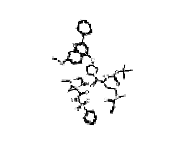 C=CC(=O)N(C)CC[C@H](NC(=O)OC(C)(C)C)C(=O)N1C[C@H](Oc2cc(-c3ccccc3)nc3cc(OC)ccc23)C[C@H]1C(=O)N[C@]1(C(=O)NS(=O)(=O)c2ccccc2)C[C@H]1C=C